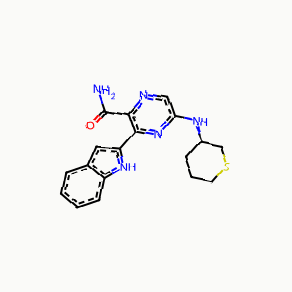 NC(=O)c1ncc(N[C@@H]2CCCSC2)nc1-c1cc2ccccc2[nH]1